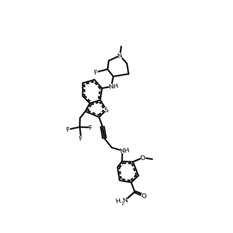 COc1cc(C(N)=O)ccc1NCC#Cc1sc2c(NC3CCN(C)CC3F)cccc2c1CC(F)(F)F